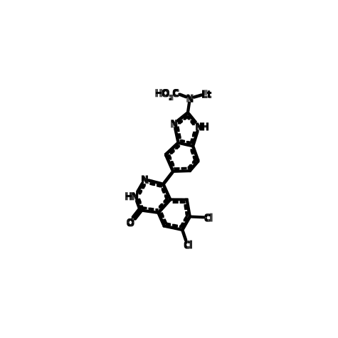 CCN(C(=O)O)c1nc2cc(-c3n[nH]c(=O)c4cc(Cl)c(Cl)cc34)ccc2[nH]1